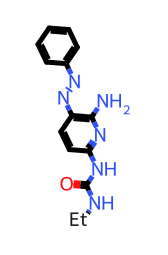 CCNC(=O)Nc1ccc(N=Nc2ccccc2)c(N)n1